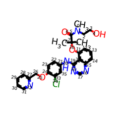 CN(CCO)C(=O)C(C)(C)Oc1cccc2ncnc(Nc3ccc(OCc4ccccn4)c(Cl)c3)c12